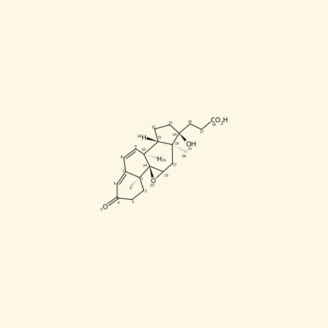 C[C@]12CCC(=O)C=C1C=C[C@H]1[C@@H]3CC[C@](O)(CCC(=O)O)[C@@]3(C)CC3O[C@]312